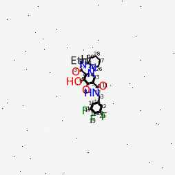 CCN1C(=O)c2c(O)c(=O)c(C(=O)NCc3cc(F)c(F)c(F)c3)cn2N2CCCC[C@@H]12